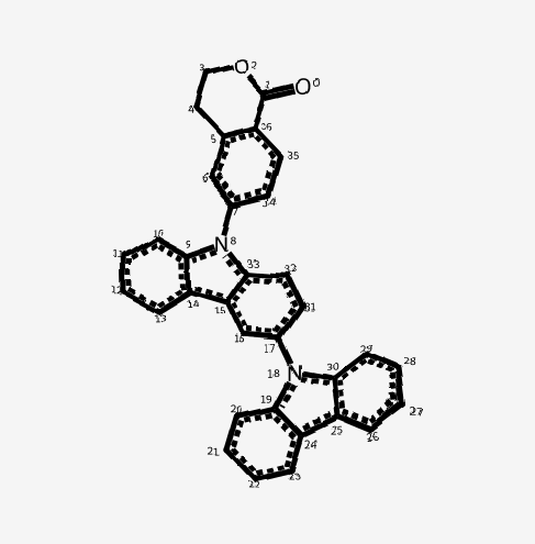 O=C1OCCc2cc(-n3c4ccccc4c4cc(-n5c6ccccc6c6ccccc65)ccc43)ccc21